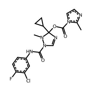 Cc1nccn1C(=O)OC1(C2CC2)N=CN(C(=O)Nc2ccc(F)c(Cl)c2)N1C